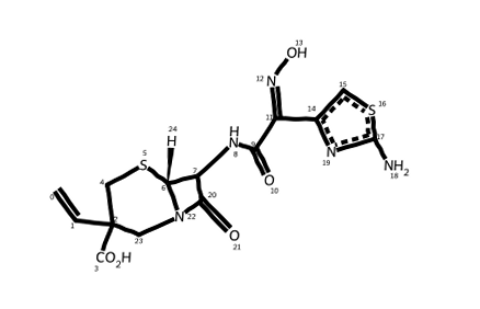 C=CC1(C(=O)O)CS[C@@H]2C(NC(=O)C(=NO)c3csc(N)n3)C(=O)N2C1